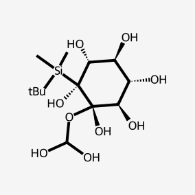 CC(C)(C)[Si](C)(C)[C@@]1(O)[C@H](O)[C@@H](O)[C@H](O)[C@@H](O)[C@]1(O)OC(O)O